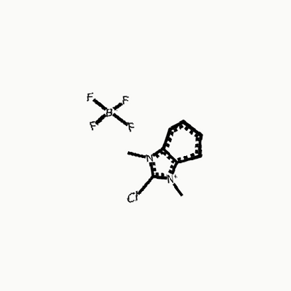 Cn1c(Cl)[n+](C)c2ccccc21.F[B-](F)(F)F